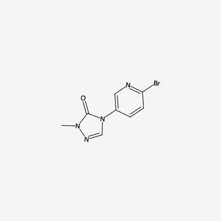 Cn1ncn(-c2ccc(Br)nc2)c1=O